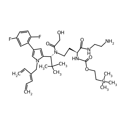 C=C/C=C(\C=C)Cn1cc(-c2cc(F)ccc2F)cc1[C@H](N(CC[C@H](NC(=O)OCC[Si](C)(C)C)C(=O)NCCN)C(=O)CO)C(C)(C)C